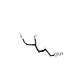 O=C(O)CCCC(F)CF